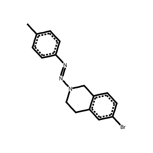 Cc1ccc(N=NN2CCc3cc(Br)ccc3C2)cc1